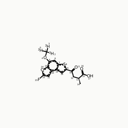 [2H]C([2H])([2H])Oc1cc2sc(C(=O)C[C@H](C)C(=O)O)cc2c2cc(F)oc12